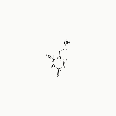 C=C(C=O)O[PH](=O)OCCO